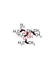 CC=C(C)COC(C)C(O)C(C)(OCC(C)=CC)OCC(C)=CC